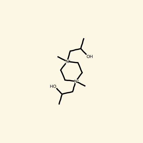 CC(O)C[N+]1(C)CC[N+](C)(CC(C)O)CC1